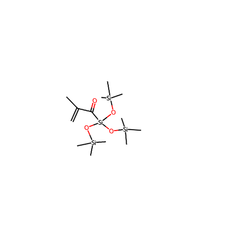 C=C(C)C(=O)[Si](O[Si](C)(C)C)(O[Si](C)(C)C)O[Si](C)(C)C